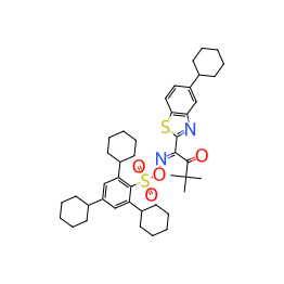 CC(C)(C)C(=O)/C(=N\OS(=O)(=O)c1c(C2CCCCC2)cc(C2CCCCC2)cc1C1CCCCC1)c1nc2cc(C3CCCCC3)ccc2s1